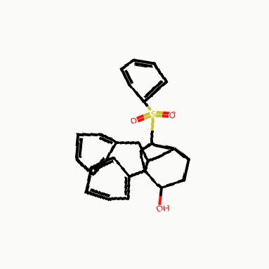 O=S(=O)(c1ccccc1)C1CC2(c3ccccc3)C(O)CCC1C2Cc1ccccc1